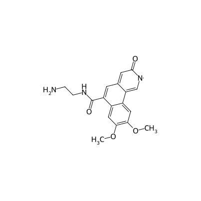 COc1cc2c(C(=O)NCCN)cc3c(c2cc1OC)=C[N]C(=O)C=3